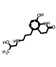 CC(O)CNCCCc1ccc(O)c2c1CCC(=O)N2